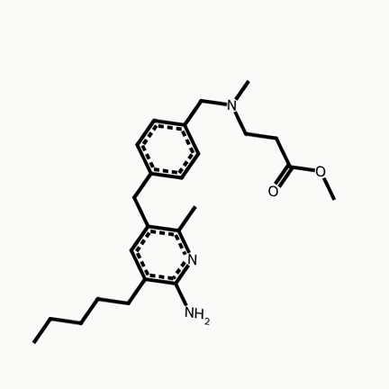 CCCCCc1cc(Cc2ccc(CN(C)CCC(=O)OC)cc2)c(C)nc1N